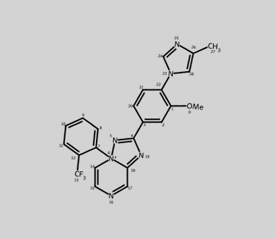 COc1cc(C2=N[N+]3(c4ccccc4C(F)(F)F)C=CN=CC3=N2)ccc1-n1cnc(C)c1